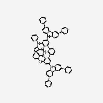 c1ccc(-c2ccc3c(c2)c2cc(-c4ccccc4)ccc2n3-c2cc3c4c(c2)-c2cccc5c2N(B4c2ccccc2O3)B2c3ccccc3N(c3ccccc3)c3cc(-n4c6ccc(-c7ccccc7)cc6c6cc(-c7ccccc7)ccc64)cc-5c32)cc1